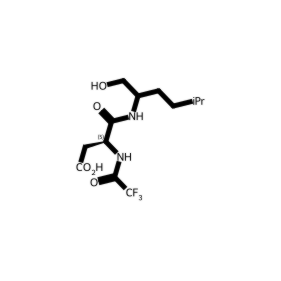 CC(C)CCC(CO)NC(=O)[C@H](CC(=O)O)NC(=O)C(F)(F)F